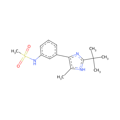 Cc1[nH]c(C(C)(C)C)nc1-c1cccc(NS(C)(=O)=O)c1